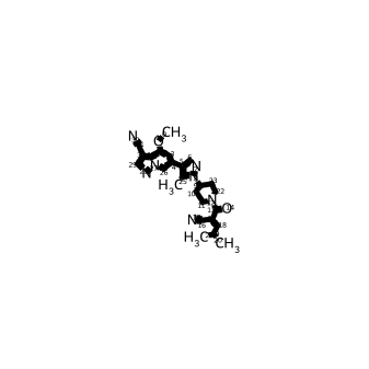 COc1cc(-c2cnn(C3CCN(C(=O)C(C#N)=CC(C)C)CC3)c2C)cn2ncc(C#N)c12